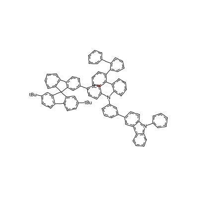 CC(C)(C)c1ccc2c(c1)C1(c3ccccc3-c3ccc(-c4ccc(N(c5cccc(-c6ccc7c(c6)c6ccccc6n7-c6ccccc6)c5)c5ccccc5-c5ccccc5-c5ccccc5-c5ccccc5)cc4)cc31)c1cc(C(C)(C)C)ccc1-2